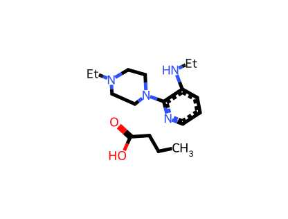 CCCC(=O)O.CCNc1cccnc1N1CCN(CC)CC1